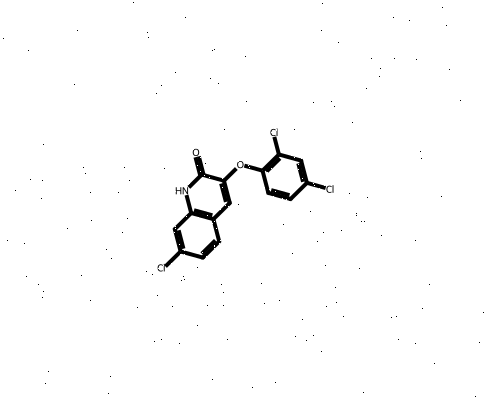 O=c1[nH]c2cc(Cl)ccc2cc1Oc1ccc(Cl)cc1Cl